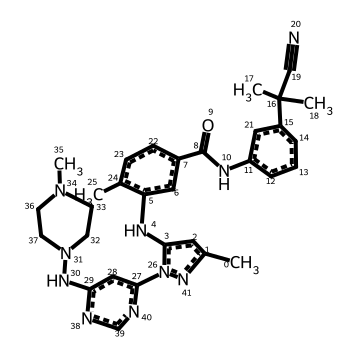 Cc1cc(Nc2cc(C(=O)Nc3cccc(C(C)(C)C#N)c3)ccc2C)n(-c2cc(NN3CCN(C)CC3)ncn2)n1